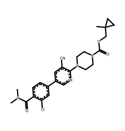 CN(C)C(=O)c1ccc(-c2cnc(N3CCN(C(=O)OCC4(C)CC4)CC3)c(C#N)c2)cc1Cl